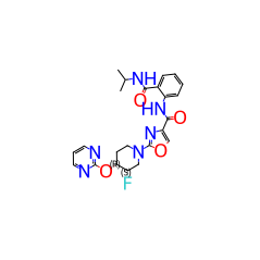 CC(C)NC(=O)c1ccccc1NC(=O)c1coc(N2CC[C@@H](Oc3ncccn3)[C@@H](F)C2)n1